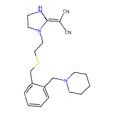 N#CC(C#N)=C1NCCN1CCSCc1ccccc1CN1CCCCC1